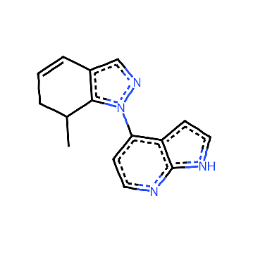 CC1CC=Cc2cnn(-c3ccnc4[nH]ccc34)c21